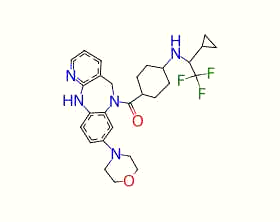 O=C(C1CCC(NC(C2CC2)C(F)(F)F)CC1)N1Cc2cccnc2Nc2ccc(N3CCOCC3)cc21